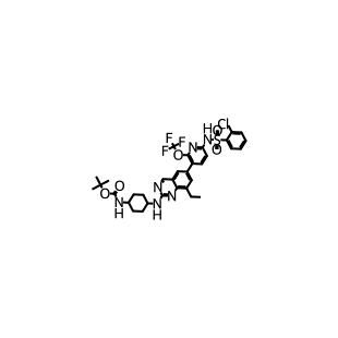 CCc1cc(-c2ccc(NS(=O)(=O)c3ccccc3Cl)nc2OC(F)(F)F)cc2cnc(NC3CCC(NC(=O)OC(C)(C)C)CC3)nc12